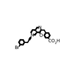 O=C(O)c1ccc(Cc2ncc3ccn(C#CCc4cccc(Br)c4)cc-3c2=O)cc1